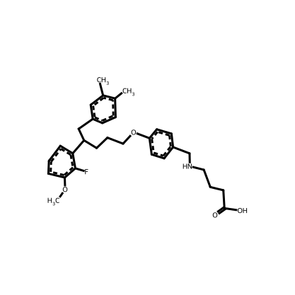 COc1cccc(C(CCCOc2ccc(CNCCCC(=O)O)cc2)Cc2ccc(C)c(C)c2)c1F